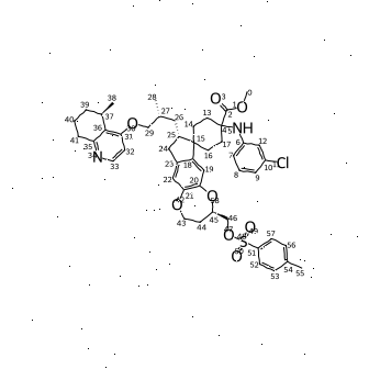 COC(=O)C1(Nc2cccc(Cl)c2)CCC2(CC1)c1cc3c(cc1C[C@@H]2C[C@@H](C)COc1ccnc2c1[C@H](C)CCC2)OCC[C@H](COS(=O)(=O)c1ccc(C)cc1)O3